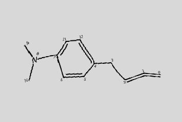 C=C=CCc1ccc(N(C)C)cc1